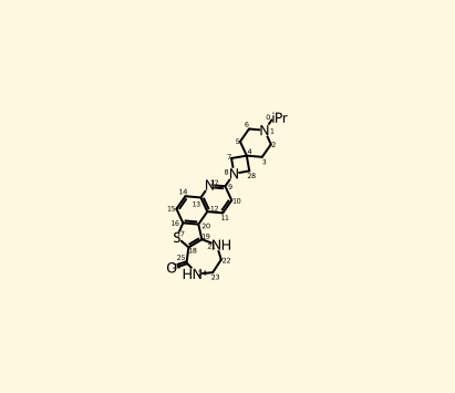 CC(C)N1CCC2(CC1)CN(c1ccc3c(ccc4sc5c(c43)NCCNC5=O)n1)C2